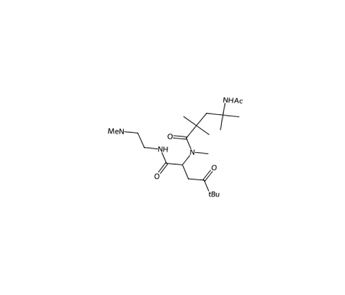 CNCCNC(=O)C(CC(=O)C(C)(C)C)N(C)C(=O)C(C)(C)CC(C)(C)NC(C)=O